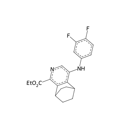 CCOC(=O)c1ncc(Nc2ccc(F)c(F)c2)c2c1C1CCC2CC1